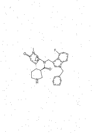 Cn1ccc([C@H]2CCNC[C@@H]2C(=O)N(Cc2cn(Cc3ccccc3)c3cccc(F)c23)C2CC2)cc1=O